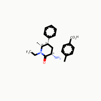 C[C@@H]1[C@H](c2ccccc2)C[C@H](N)C(=O)N1CC(F)(F)F.Cc1ccc(C(=O)O)cc1